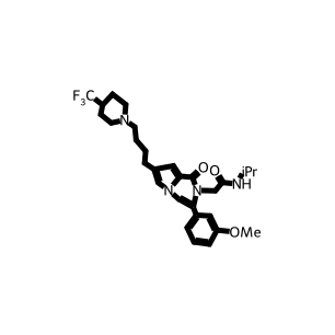 COc1cccc(-c2cn3cc(CCCCN4CCC(C(F)(F)F)CC4)cc3c(=O)n2CC(=O)NC(C)C)c1